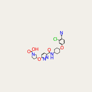 N#Cc1ccc(OC2CCC(NC(=O)c3ccc(OC4CCN(C(=O)O)C4)nn3)CC2)cc1Cl